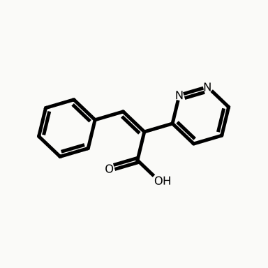 O=C(O)C(=Cc1ccccc1)c1cccnn1